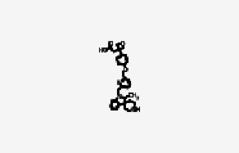 CC1N(Cc2cccc(COc3ccc(C4(CC(=O)O)COC4)cc3)n2)c2ccccc2C12CCNCC2